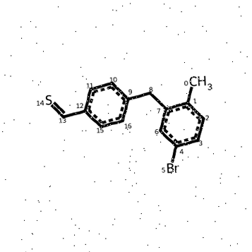 Cc1ccc(Br)cc1Cc1ccc(C=S)cc1